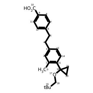 Cc1cc(CCc2ccc(C(=O)O)cc2)ccc1C1(OCC(C)(C)C)CC1